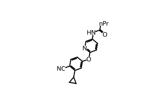 CCCC(=O)Nc1ccc(Oc2ccc(C#N)c(C3CC3)c2)nc1